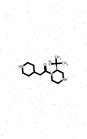 CC(C)(C)[C@H]1CNCCN1C(=O)CC1CCNCC1